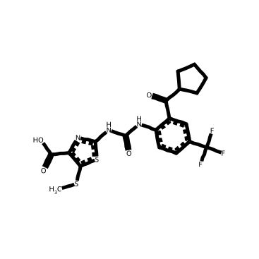 CSc1sc(NC(=O)Nc2ccc(C(F)(F)F)cc2C(=O)C2CCCC2)nc1C(=O)O